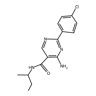 CCC(C)NC(=O)c1cnc(-c2ccc(Cl)cc2)nc1N